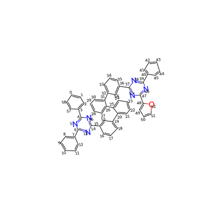 c1ccc(-c2nc(-c3ccccc3)nc(-c3cccc(-c4ccccc4-c4ccccc4-c4cccc(-c5nc(-c6ccccc6)nc(-c6ccco6)n5)c4)c3)n2)cc1